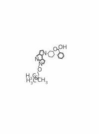 C[Si](C)(C)CCOCn1ccc2c1ncc1ccn([C@H]3CC[C@@H](c4ccccc4C(=O)O)CC3)c12